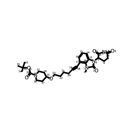 Cn1c(=O)n(C2CCC(=O)NC2=O)c2cccc(C#CCCCCOC3CCN(C(=O)OC(C)(C)C)CC3)c21